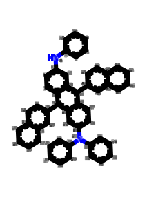 c1ccc(Nc2ccc3c(-c4ccc5ccccc5c4)c4cc(N(c5ccccc5)c5ccccc5)ccc4c(-c4ccc5ccccc5c4)c3c2)cc1